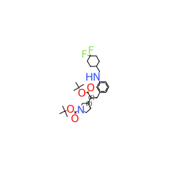 CC(C)(C)OC(=O)[C@@H](Cc1cccc(NCC2CCC(F)(F)CC2)c1)[C@H]1CCN(C(=O)OC(C)(C)C)C1